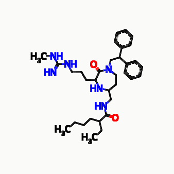 CCCCC(CC)C(=O)NCC1CCN(CC(c2ccccc2)c2ccccc2)C(=O)C(CCCNC(=N)NC)N1